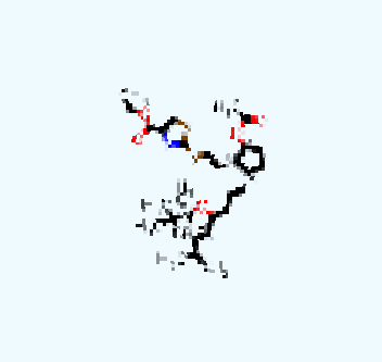 C=C(C)CCC(CC=C[C@H]1CC[C@H](OC(C)=O)[C@@H]1CCSc1nc(C(=O)OCC)cs1)O[Si](C)(C)C(C)(C)C